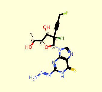 C[C@@H](O)[C@H]1O[C@@H](n2cnc3c(=S)[nH]c(N=NN)nc32)[C@@](Cl)(C#CCF)[C@H]1O